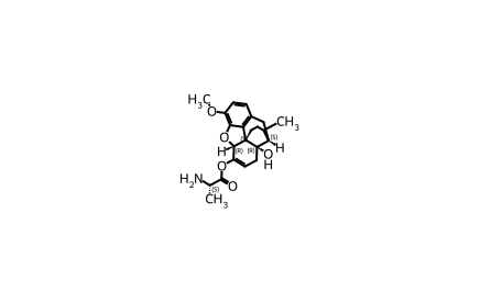 COc1ccc2c3c1O[C@H]1C(OC(=O)[C@H](C)N)=CC[C@@]4(O)[C@@H](C2)C(C)CC[C@]314